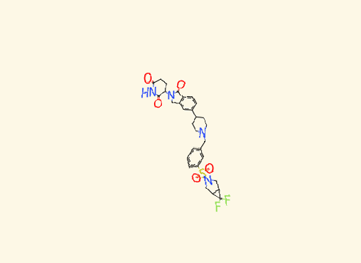 O=C1CCC(N2Cc3cc(C4CCN(Cc5cccc(S(=O)(=O)N6CC7C(C6)C7(F)F)c5)CC4)ccc3C2=O)C(=O)N1